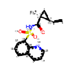 C=C[C@@H]1C[C@]1(CC)C(=O)NS(=O)(=O)c1cccc2cccnc12